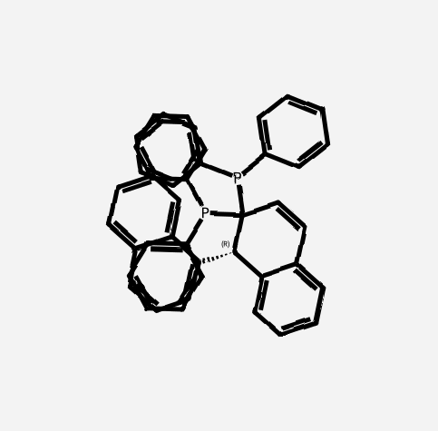 C1=CC(P(c2ccccc2)c2ccccc2)(P(c2ccccc2)c2ccccc2)[C@@H](c2cccc3ccccc23)c2ccccc21